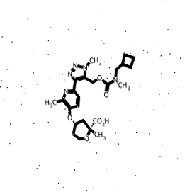 Cc1nc(-c2nnn(C)c2COC(=O)N(C)CC2CCC2)ccc1O[C@H]1CCO[C@@](C)(C(=O)O)C1